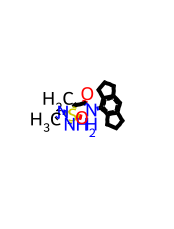 C=C(C(=O)Nc1c2c(cc3c1CCC3)CCC2)S(N)(=O)=NC